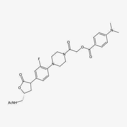 CC(=O)NC[C@H]1CC(c2ccc(N3CCN(C(=O)COC(=O)c4ccc(N(C)C)cc4)CC3)c(F)c2)C(=O)O1